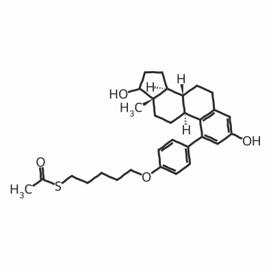 CC(=O)SCCCCCOc1ccc(-c2cc(O)cc3c2[C@H]2CC[C@]4(C)C(O)CC[C@H]4[C@@H]2CC3)cc1